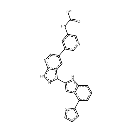 CCCC(=O)Nc1cncc(-c2cnc3[nH]nc(-c4cc5c(-c6cccs6)cccc5[nH]4)c3c2)c1